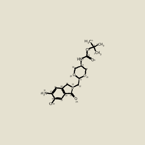 CC(C)(C)OC(=O)N[C@H]1CO[C@@H](CN2Cc3cc(N)c(Cl)cc3C2=O)OC1